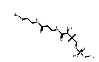 CC(C)(C)OP(=O)(O)OCC(C)(C)C(O)C(=O)NCCC(=O)NCCSC(C)(C)C